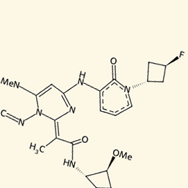 C=NN1C(NC)=CC(Nc2cccn([C@H]3C[C@H](F)C3)c2=O)=N/C1=C(/C)C(=O)N[C@H]1CC[C@@H]1OC